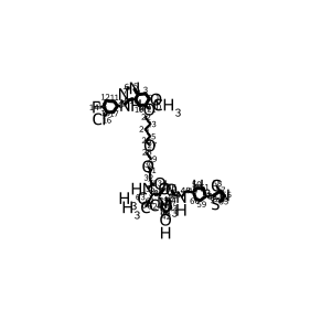 COc1cc2ncnc(Nc3ccc(F)c(Cl)c3)c2cc1OCCCCCOCCOCCC(=O)NC(C(=O)N1C[C@H](O)C[C@H]1C(=O)NCc1ccc(-c2scnc2C)cc1)C(C)(C)C